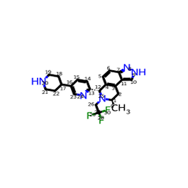 C[C@@H]1Cc2c(ccc3n[nH]cc23)[C@@H](c2ccc(C3CCNCC3)cn2)N1CC(F)(F)F